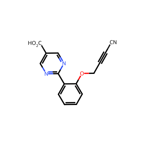 N#CC#CCOc1ccccc1-c1ncc(C(=O)O)cn1